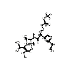 CSC1=C(C(=O)O)N2C(=O)C(NC(=O)C(=NOCC(=O)OC(C)(C)C)c3csc(NC=O)n3)[C@@H]2SC1